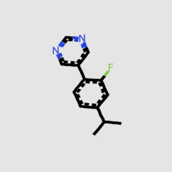 CC(C)c1ccc(-c2cncnc2)c(F)c1